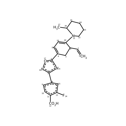 C=CC1CC(c2nc(-c3ccc(C(=O)O)c(F)c3)no2)=CC=C1N1CCCCC1C